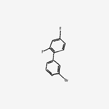 Fc1ccc(-c2cc[c]c(Br)c2)c(F)c1